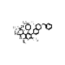 Cc1nc(C)c(C(OC(C)(C)C)C(=O)O)c(N2CCC(C)(C)CC2)c1-c1ccc2c(c1)CCN(Cc1ccccc1)C2